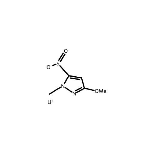 COc1cc(S(=O)[O-])n(C)n1.[Li+]